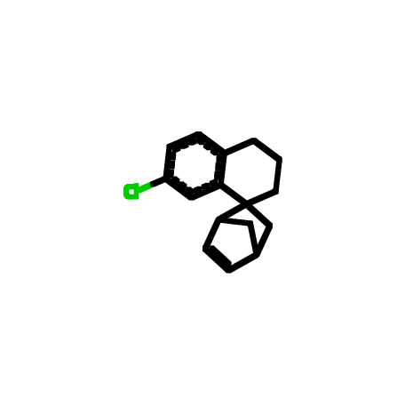 Clc1ccc2c(c1)C1(CCC2)CC2C=CC1C2